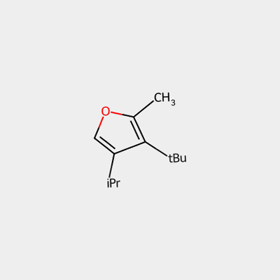 Cc1occ(C(C)C)c1C(C)(C)C